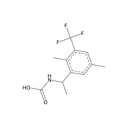 Cc1cc(C(C)NC(=O)O)c(C)c(C(F)(F)F)c1